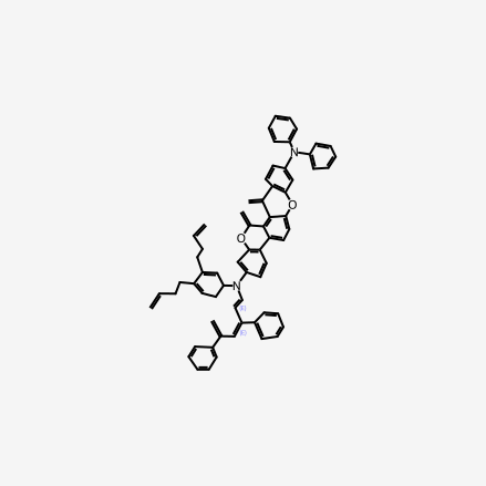 C=CCCC1=CCC(N(/C=C/C(=C\C(=C)c2ccccc2)c2ccccc2)c2ccc3c(c2)OC(=C)c2c-3ccc3c2C(=C)c2ccc(N(c4ccccc4)c4ccccc4)cc2O3)C=C1CCC=C